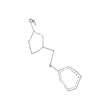 CC1CCC(CSc2ccccc2)C1